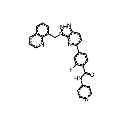 O=C(Nc1ccncc1)c1ccc(-c2ccc3nnn(Cc4cccc5cccnc45)c3n2)cc1F